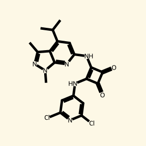 Cc1nn(C)c2nc(Nc3c(Nc4cc(Cl)nc(Cl)c4)c(=O)c3=O)cc(C(C)C)c12